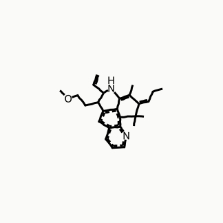 C=CC1NC2=C(C)/C(=C\CC)C(C)(C)c3c2c(cc2cccnc32)C1CCOC